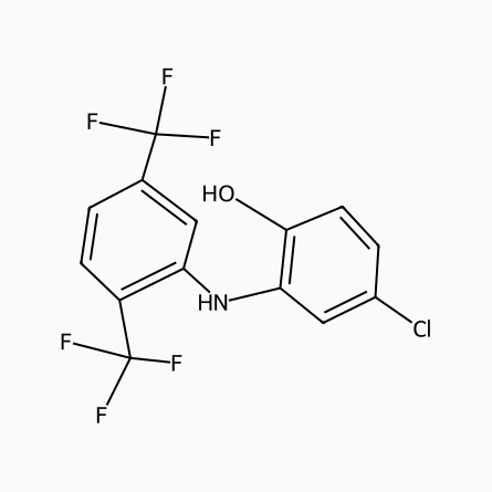 Oc1ccc(Cl)cc1Nc1cc(C(F)(F)F)ccc1C(F)(F)F